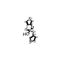 OP(=S)(Oc1ccsc1)Sc1ccsc1